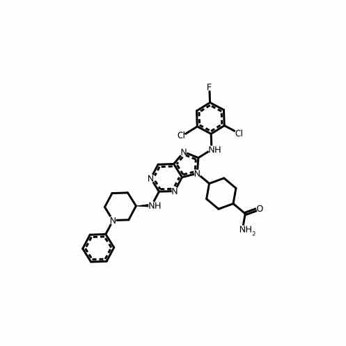 NC(=O)C1CCC(n2c(Nc3c(Cl)cc(F)cc3Cl)nc3cnc(N[C@@H]4CCCN(c5ccccc5)C4)nc32)CC1